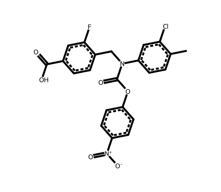 Cc1ccc(N(Cc2ccc(C(=O)O)cc2F)C(=O)Oc2ccc([N+](=O)[O-])cc2)cc1Cl